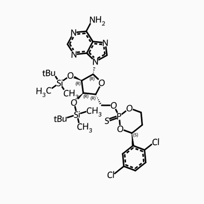 CC(C)(C)[Si](C)(C)O[C@@H]1[C@H](O[Si](C)(C)C(C)(C)C)[C@@H](COP2(=S)OCC[C@@H](c3cc(Cl)ccc3Cl)O2)O[C@H]1n1cnc2c(N)ncnc21